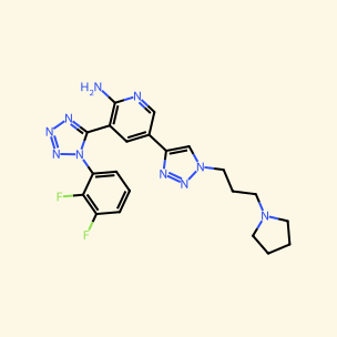 Nc1ncc(-c2cn(CCCN3CCCC3)nn2)cc1-c1nnnn1-c1cccc(F)c1F